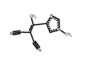 CC(=C(C#N)C#N)c1cn(C)cn1